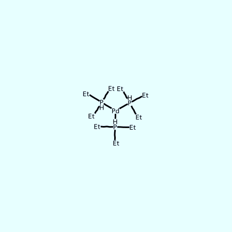 CC[PH](CC)(CC)[Pd]([PH](CC)(CC)CC)[PH](CC)(CC)CC